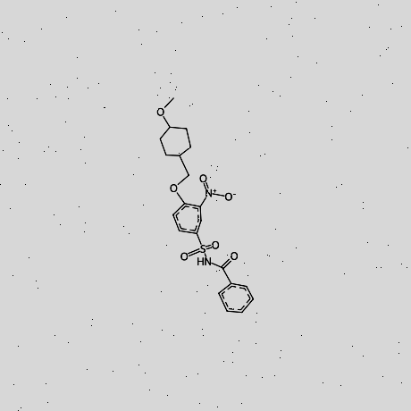 COC1CCC(COc2ccc(S(=O)(=O)NC(=O)c3ccccc3)cc2[N+](=O)[O-])CC1